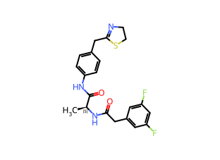 C[C@H](NC(=O)Cc1cc(F)cc(F)c1)C(=O)Nc1ccc(CC2=NCCS2)cc1